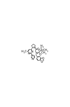 Cc1cc(C2CCCN2C(=O)CN(Cc2ccc3c(c2)OCO3)C(=O)OC(C)(C)C)nc(-n2ccnc2)n1